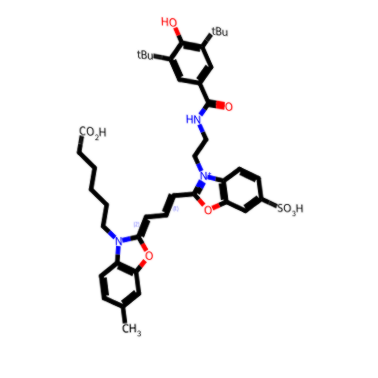 Cc1ccc2c(c1)O/C(=C\C=C\c1oc3cc(S(=O)(=O)O)ccc3[n+]1CCNC(=O)c1cc(C(C)(C)C)c(O)c(C(C)(C)C)c1)N2CCCCCC(=O)O